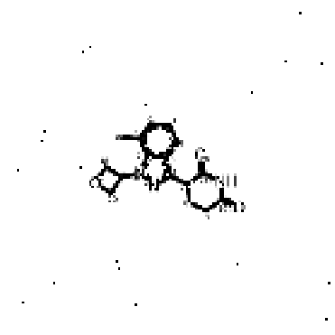 Cc1cccc2c(C3CCC(=O)NC3=O)nn(C3COC3)c12